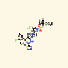 CCOC(=O)C1=C(CN2CC(F)(F)[C@@H]3CN(S(=O)(=O)CC(C)(C)C(=O)O)C[C@@H]32)NC(c2nccs2)=N[C@H]1c1cccc(F)c1C